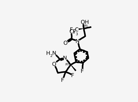 C[C@@](O)(CN(C(=O)C(F)(F)F)c1ccc(F)c([C@@]2(C)N=C(N)OCC2(F)F)c1)C(F)(F)F